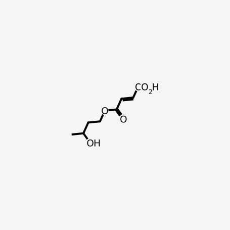 CC(O)CCOC(=O)/C=C/C(=O)O